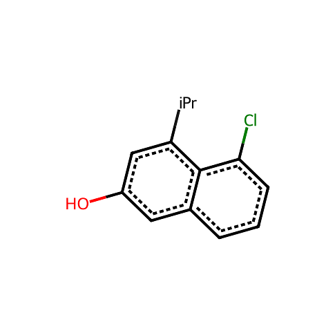 CC(C)c1cc(O)cc2cccc(Cl)c12